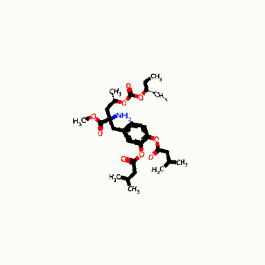 CC[C@H](C)OC(=O)O[C@@H](C)CC(N)(Cc1ccc(OC(=O)CC(C)C)c(OC(=O)CC(C)C)c1)C(=O)OC